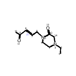 CCN1CCN(C/C=C/C(C)=O)C(=O)C1